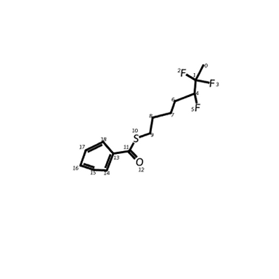 CC(F)(F)C(F)CCCCSC(=O)c1ccccc1